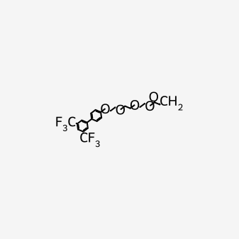 C=CC(=O)OCCOCCOCCOc1ccc(-c2cc(C(F)(F)F)cc(C(F)(F)F)c2)cc1